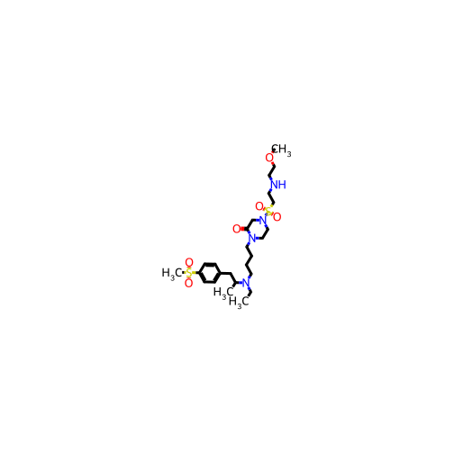 CCN(CCCCN1CCN(S(=O)(=O)CCNCCOC)CC1=O)C(C)Cc1ccc(S(C)(=O)=O)cc1